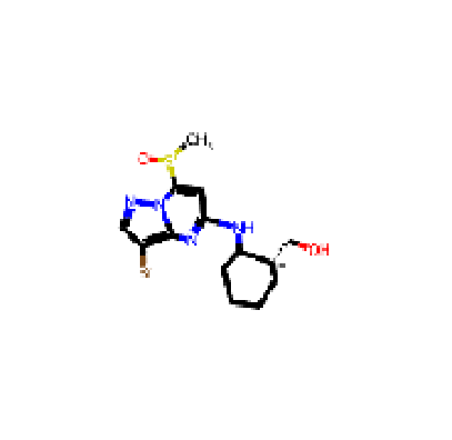 C[S+]([O-])c1cc(NC2CCCC[C@H]2CO)nc2c(Br)cnn12